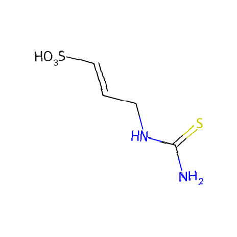 NC(=S)NCC=CS(=O)(=O)O